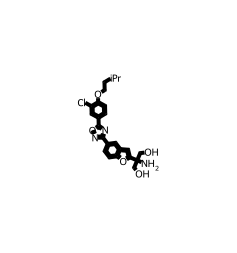 CC(C)CCOc1ccc(-c2nc(-c3ccc4oc(C(N)(CO)CO)cc4c3)no2)cc1Cl